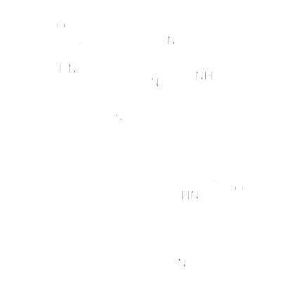 CN(C)CCNC(=O)c1ccc(Nc2ncc3c(n2)-c2sccc2NC(=O)C3)cc1